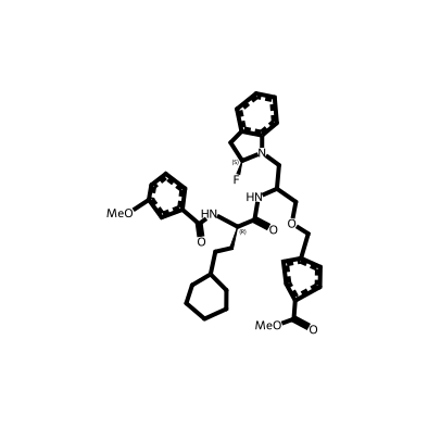 COC(=O)c1ccc(COCC(CN2c3ccccc3C[C@@H]2F)NC(=O)[C@@H](CCC2CCCCC2)NC(=O)c2cccc(OC)c2)cc1